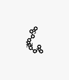 c1cc(-c2ccc3sc4nc5ccc(-c6cccc(-n7c8ccccc8c8ccccc87)c6)cc5nc4c3c2)cc(-c2cccc3c2sc2ccccc23)c1